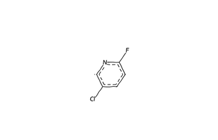 Fc1ccc(Cl)[c]n1